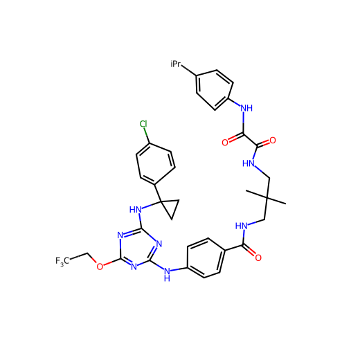 CC(C)c1ccc(NC(=O)C(=O)NCC(C)(C)CNC(=O)c2ccc(Nc3nc(NC4(c5ccc(Cl)cc5)CC4)nc(OCC(F)(F)F)n3)cc2)cc1